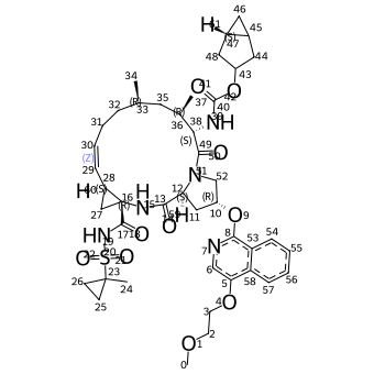 COCCOc1cnc(O[C@@H]2C[C@H]3C(=O)N[C@]4(C(=O)NS(=O)(=O)C5(C)CC5)C[C@H]4/C=C\CC[C@@H](C)C[C@@H](C)[C@H](NC(=O)OC4CC5C[C@H]5C4)C(=O)N3C2)c2ccccc12